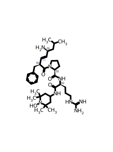 CC(C)C[C@H](N)/C=C/[C@H](Cc1ccccc1)C(=O)N1CCC[C@H]1C(=O)N[C@@H](CCCNC(=N)N)C(=O)NC1CC(C)(C)N(O)C(C)(C)C1